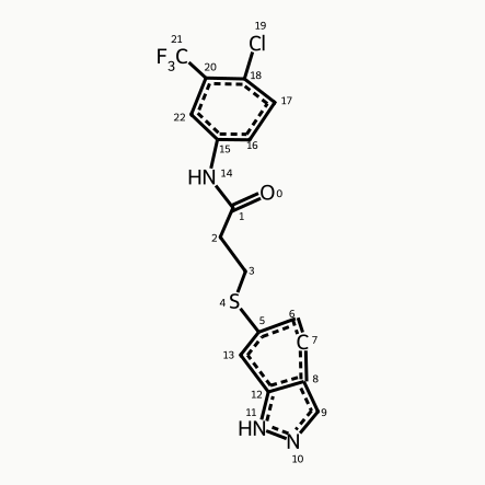 O=C(CCSc1ccc2cn[nH]c2c1)Nc1ccc(Cl)c(C(F)(F)F)c1